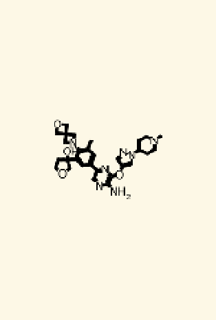 Cc1cc(-c2cnc(N)c(Oc3cnn(C4CCN(C)CC4)c3)n2)cc(C2(O)CCOC2)c1N1CC2(COC2)C1